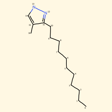 CCCCCCCCCCCC1=N[N]C=C1C